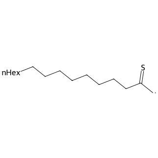 [CH2]C(=S)CCCCCCCCCCCCCC